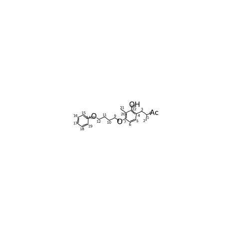 CC(=O)C(C)Cc1ccc(OCCCCOc2ccccc2)c(C)c1O